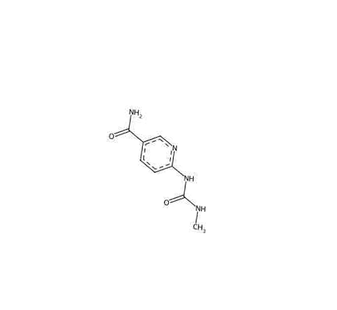 CNC(=O)Nc1ccc(C(N)=O)cn1